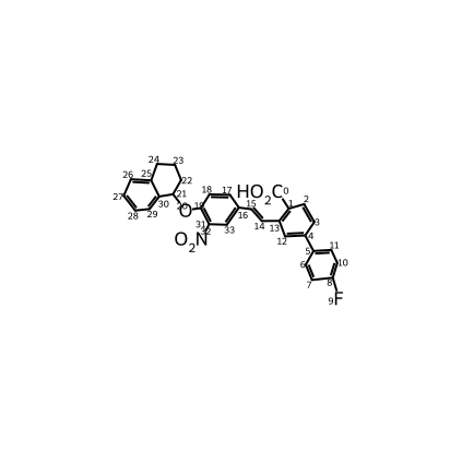 O=C(O)c1ccc(-c2ccc(F)cc2)cc1C=Cc1ccc(OC2CCCc3ccccc32)c([N+](=O)[O-])c1